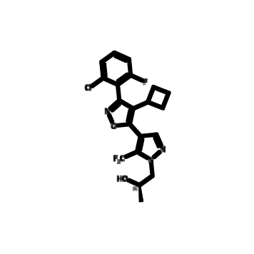 C[C@@H](O)Cn1ncc(-c2onc(-c3c(F)cccc3Cl)c2C2CCC2)c1C(F)(F)F